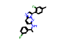 Cc1ccc(-c2cnc3ccc(NC(C)c4cccc(F)c4)nn23)c(F)c1